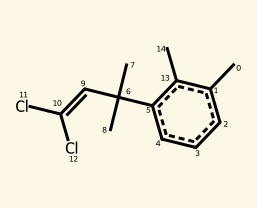 Cc1cccc(C(C)(C)C=C(Cl)Cl)c1C